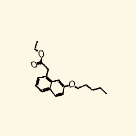 CCCCCOc1ccc2cccc(CC(=O)OCC)c2c1